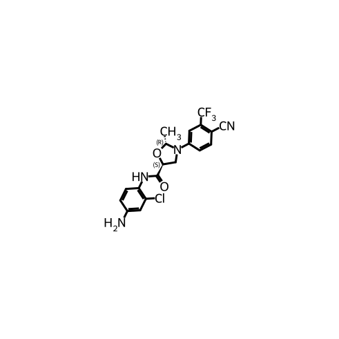 C[C@H]1O[C@H](C(=O)Nc2ccc(N)cc2Cl)CN1c1ccc(C#N)c(C(F)(F)F)c1